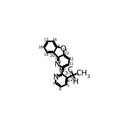 [2H]C(C)(C)c1cccnc1-c1ccc2oc3ccccc3c2n1